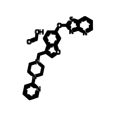 O=CO.c1ccc(N2CCN(Cc3coc4cc(Oc5nc6ncccc6s5)ccc34)CC2)nc1